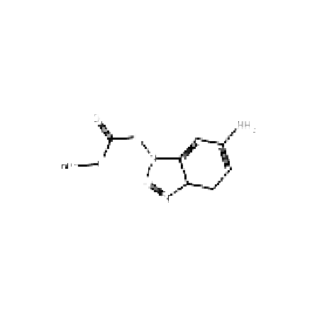 CCCOC(=O)ON1N=NC2CC=C(N)C=C21